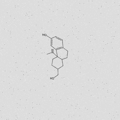 CNC12CCC(CO)CC1CCc1ccc(O)cc12